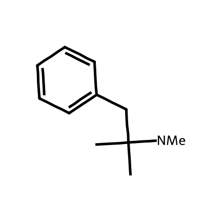 [CH2-][NH2+]C(C)(C)Cc1ccccc1